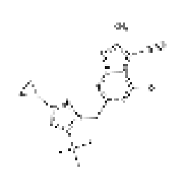 Cc1sc2nc(Cn3nc(C4CC4)cc3C(F)(F)F)cc(=O)n2c1C#N